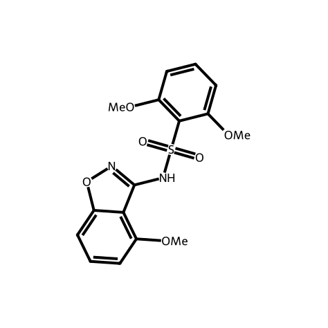 COc1cccc(OC)c1S(=O)(=O)Nc1noc2cccc(OC)c12